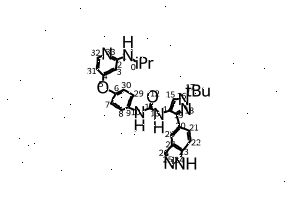 CC(C)Nc1cc(Oc2ccc(NC(=O)Nc3cn(C(C)(C)C)nc3-c3ccc4[nH]ncc4c3)cc2)ccn1